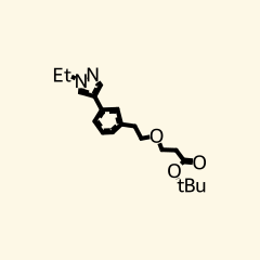 CCn1cc(-c2cccc(CCOCCC(=O)OC(C)(C)C)c2)cn1